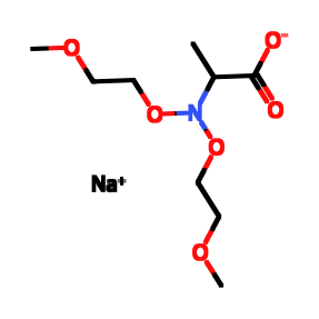 COCCON(OCCOC)C(C)C(=O)[O-].[Na+]